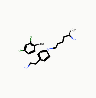 NCCCC[C@H](N)C(=O)O.NCCc1ccccc1.O=Cc1ccc(Cl)cc1Cl